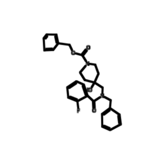 O=C(OCc1ccccc1)N1CCC(O)(CN(Cc2ccccc2)C(=O)c2ccccc2F)CC1